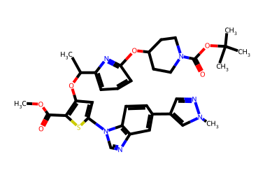 COC(=O)c1sc(-n2cnc3cc(-c4cnn(C)c4)ccc32)cc1OC(C)c1cccc(OC2CCN(C(=O)OC(C)(C)C)CC2)n1